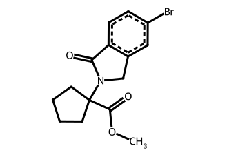 COC(=O)C1(N2Cc3cc(Br)ccc3C2=O)CCCC1